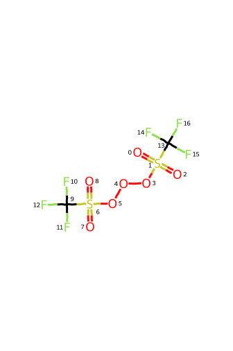 O=S(=O)(OOOS(=O)(=O)C(F)(F)F)C(F)(F)F